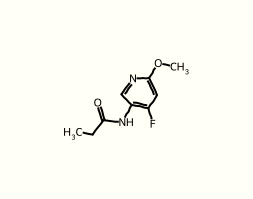 CCC(=O)Nc1cnc(OC)cc1F